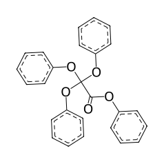 O=C(Oc1ccccc1)C(Oc1ccccc1)(Oc1ccccc1)Oc1ccccc1